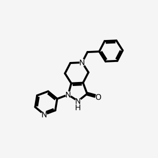 O=c1[nH]n(-c2cccnc2)c2c1CN(Cc1ccccc1)CC2